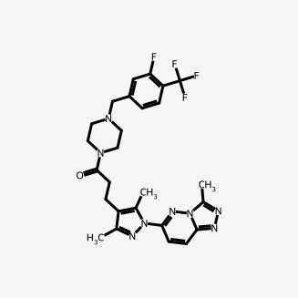 Cc1nn(-c2ccc3nnc(C)n3n2)c(C)c1CCC(=O)N1CCN(Cc2ccc(C(F)(F)F)c(F)c2)CC1